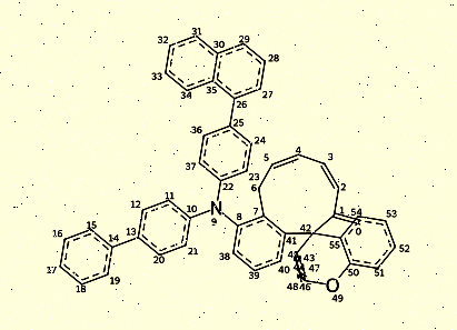 C=C1/C=C\C=C/Cc2c(N(c3ccc(-c4ccccc4)cc3)c3ccc(-c4cccc5ccccc45)cc3)cccc2C12c1ccccc1Oc1ccccc12